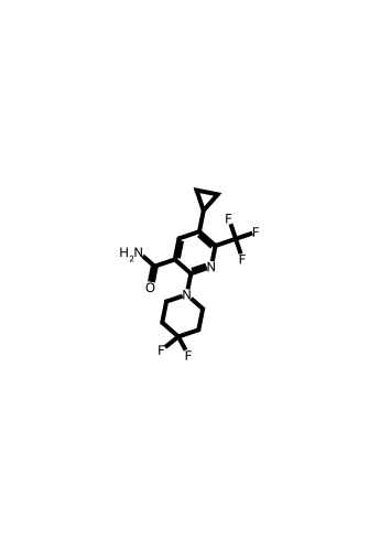 NC(=O)c1cc(C2CC2)c(C(F)(F)F)nc1N1CCC(F)(F)CC1